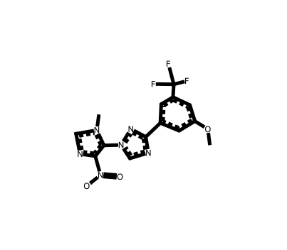 COc1cc(-c2ncn(-c3c([N+](=O)[O-])ncn3C)n2)cc(C(F)(F)F)c1